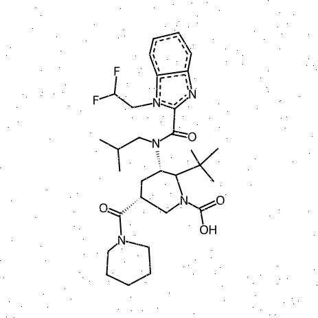 CC(C)CN(C(=O)c1nc2ccccc2n1CC(F)F)[C@H]1C[C@@H](C(=O)N2CCCCC2)CN(C(=O)O)C1C(C)(C)C